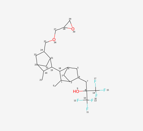 CC1C2CC(CC2CC(O)(C(F)(F)F)C(F)(F)F)C1C1C(C)C2CC(COCC3CO3)C1C2